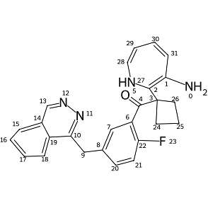 NC1=C(C2(C(=O)c3cc(Cc4nncc5ccccc45)ccc3F)CCC2)NC=CC=C1